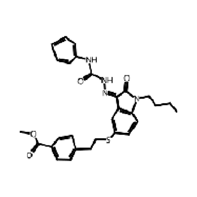 CCCCN1C(=O)/C(=N\NC(=O)Nc2ccccc2)c2cc(SCCc3ccc(C(=O)OC)cc3)ccc21